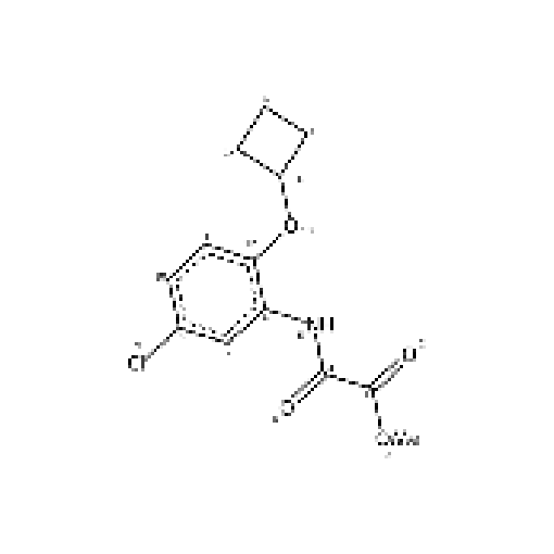 COC(=O)C(=O)Nc1cc(Cl)ccc1OC1CCC1